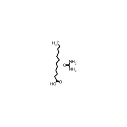 CCCCCCCCCCCC(=O)O.NC(N)=O